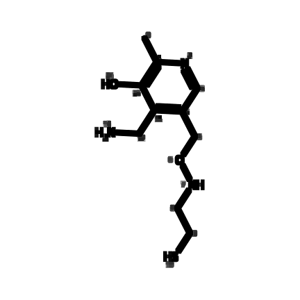 Cc1ncc(CONCCS)c(CN)c1O